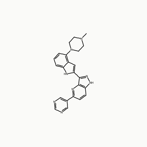 CN1CCN(c2cccc3[nH]c(-c4n[nH]c5ccc(-c6cncnc6)nc45)cc23)CC1